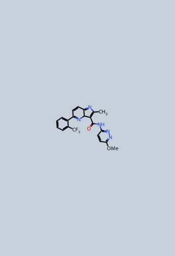 COc1ccc(NC(=O)C2=C(C)N=C3C=CC(c4ccccc4C(F)(F)F)=NC32)nn1